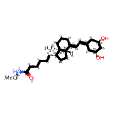 CONC(=O)CCCCC[C@H]1CC[C@H]2/C(=C/C=C3C[C@@H](O)C[C@H](O)C3)CCC[C@]12C